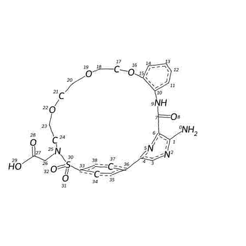 Nc1ncc2nc1C(=O)Nc1ccccc1OCCOCCOCCN(CC(=O)O)S(=O)(=O)c1ccc-2cc1